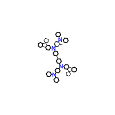 CC1CC(N(c2ccc(-c3ccc(N(c4ccc(N(c5ccccc5)c5ccccc5)cc4)c4ccc5c(c4)C4(CCCC4)c4ccccc4-5)cc3)cc2)c2ccc3c(c2)C2(CCCC2)c2ccccc2-3)=CC=C1N(c1ccccc1)c1ccccc1